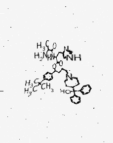 CC(N)C(=O)NC(Cc1c[nH]cn1)C(=O)OC(CCCN1CCC(C(O)(c2ccccc2)c2ccccc2)CC1)c1ccc(C(C)(C)C)cc1